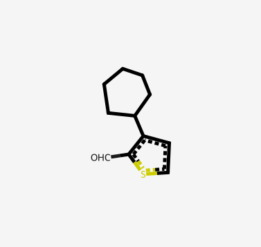 O=Cc1sccc1C1CCCCC1